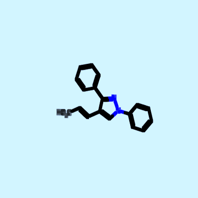 O=C(O)C=Cc1cn(-c2ccccc2)nc1-c1ccccc1